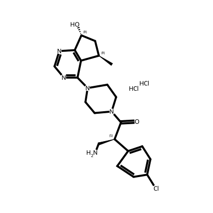 C[C@@H]1C[C@@H](O)c2ncnc(N3CCN(C(=O)[C@H](CN)c4ccc(Cl)cc4)CC3)c21.Cl.Cl